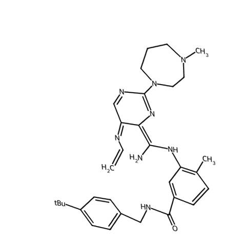 C=C/N=C1/C=NC(N2CCCN(C)CC2)=N/C1=C(/N)Nc1cc(C(=O)NCc2ccc(C(C)(C)C)cc2)ccc1C